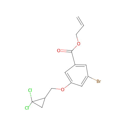 C=CCOC(=O)c1cc(Br)cc(OCC2CC2(Cl)Cl)c1